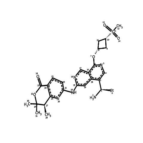 CC[C@@H](N)c1cnc(O[C@H]2C[C@@H](S(C)(=O)=O)C2)c2cnc(Nc3ccc4c(n3)[C@@H](C)C(C)(C)OC4=O)cc12